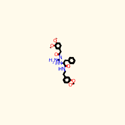 COc1ccc(CC(=O)N=C(N)NC(Cc2ccccc2)C(=O)NCCc2ccc3c(c2)OCO3)cc1OC